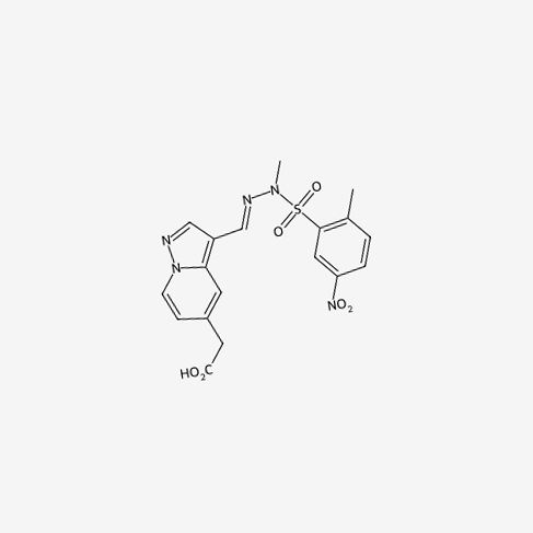 Cc1ccc([N+](=O)[O-])cc1S(=O)(=O)N(C)/N=C/c1cnn2ccc(CC(=O)O)cc12